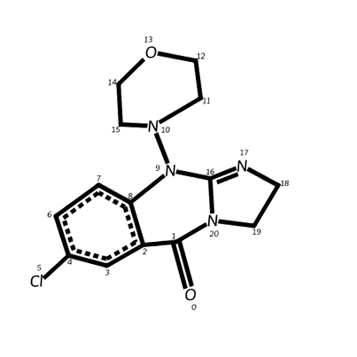 O=C1c2cc(Cl)ccc2N(N2CCOCC2)C2=NCCN12